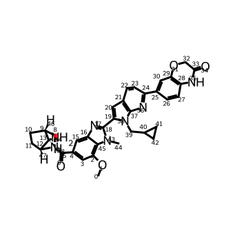 COc1cc(C(=O)N2C[C@H]3CC[C@@H]2[C@@H]3N)cc2nc(-c3cc4ccc(-c5ccc6c(c5)OCC(=O)N6)nc4n3CC3CC3)n(C)c12